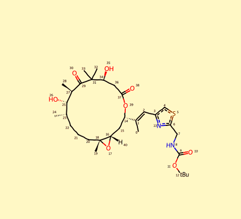 CC(=Cc1csc(CNC(=O)OC(C)(C)C)n1)[C@@H]1C[C@@H]2O[C@]2(C)CCC[C@H](C)[C@H](O)[C@@H](C)C(=O)C(C)(C)[C@@H](O)CC(=O)O1